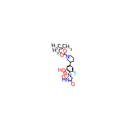 CC(C)(C)OC(=O)N1CCCC(c2cc(O)c(N3CC(=O)NS3(=O)=O)c(F)c2)C1